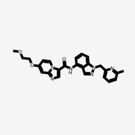 COCCOc1ccn2c(C(=O)Nc3cccc4c3cnn4Cc3cccc(C)n3)cnc2c1